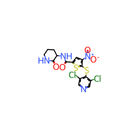 O=C(NC1CCCNC1=O)c1cc([N+](=O)[O-])c(Sc2c(Cl)cncc2Cl)s1